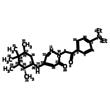 CCN(CC)c1ccc(C(=O)Cn2ncc(N[C@@H]3C[C@H](C)C(C)(C)[C@H](C)[C@H]3C)cc2=O)cc1